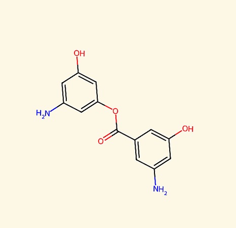 Nc1cc(O)cc(OC(=O)c2cc(N)cc(O)c2)c1